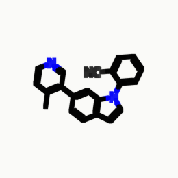 Cc1ccncc1-c1ccc2ccn(-c3ccccc3C#N)c2c1